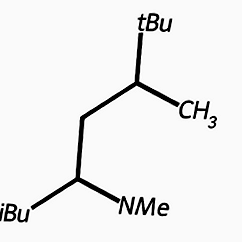 CCC(C)C(CC(C)C(C)(C)C)NC